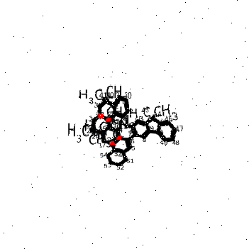 Cc1cc2c(cc1-c1cc3c(cc1N(c1cccc4c1C(C)(C)CCC4(C)C)c1cccc4c1C(C)(C)CCC4(C)C)C(C)(C)c1ccccc1-3)CCCC2